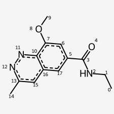 CCNC(=O)c1cc(OC)c2nnc(C)cc2c1